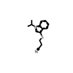 CC(C)n1cc(SCCC#N)c2ccccc21